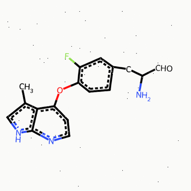 Cc1c[nH]c2nccc(Oc3ccc(CC(N)C=O)cc3F)c12